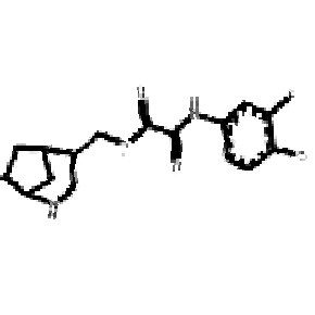 O=C(NCC1CNC2CCC1C2)C(=O)Nc1ccc(Cl)c(F)c1